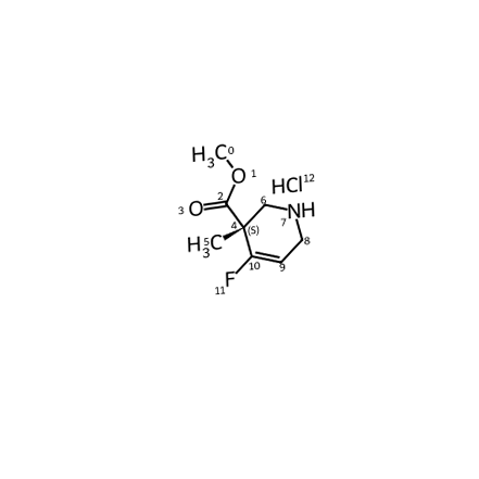 COC(=O)[C@]1(C)CNCC=C1F.Cl